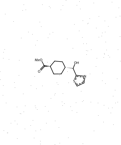 COC(=O)[C@H]1CC[C@H](C(O)c2nccs2)CC1